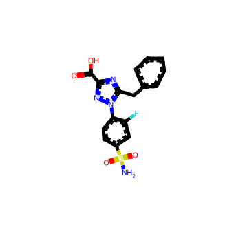 NS(=O)(=O)c1ccc(-n2nc(C(=O)O)nc2Cc2ccccc2)c(F)c1